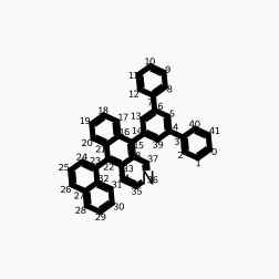 c1ccc(-c2cc(-c3ccccc3)cc(-c3c4ccccc4c(-c4cccc5ccccc45)c4ccncc34)c2)cc1